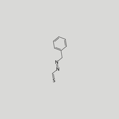 S=CN=NCc1ccccc1